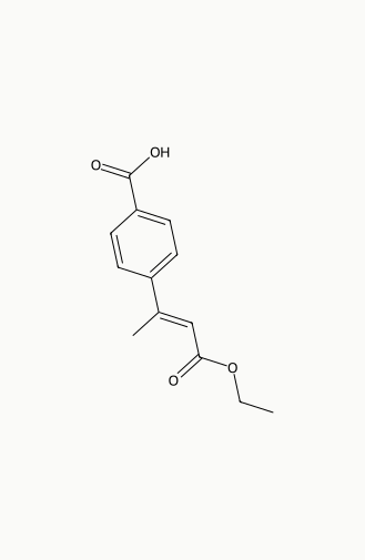 CCOC(=O)C=C(C)c1ccc(C(=O)O)cc1